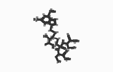 COC(=O)C(CC(C)C)NP(=O)(NC(CC(C)C)C(=O)OC)OC[C@@H](OCn1cnc2c(OC)nc(N)nc21)[C@H](O)C(C)O